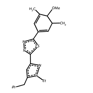 CCn1nc(-c2nnc(C3=CC(C)C(OC)C(C)=C3)s2)cc1CC(C)C